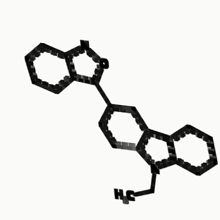 CCn1c2ccccc2c2cc(-c3onc4ccccc34)ccc21